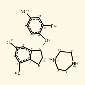 N#Cc1ccc(O[C@H]2c3cc(Cl)cc(Cl)c3C[C@H]2N2CCNCC2)c(F)c1